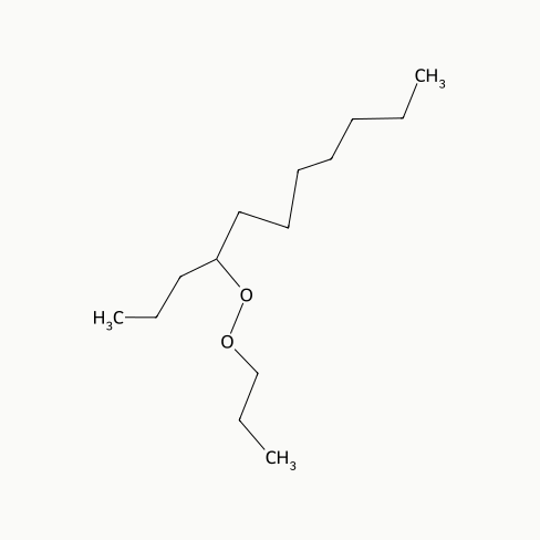 CCCCCCCC(CCC)OOCCC